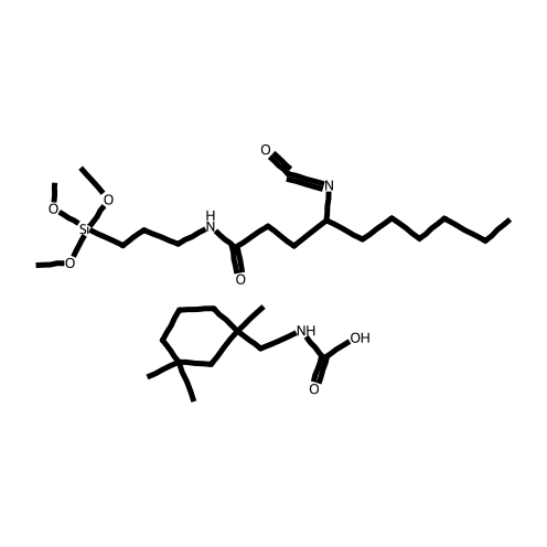 CC1(C)CCCC(C)(CNC(=O)O)C1.CCCCCCC(CCC(=O)NCCC[Si](OC)(OC)OC)N=C=O